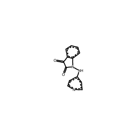 O=C1C(=O)N(Nc2ccncc2)c2ccccc21